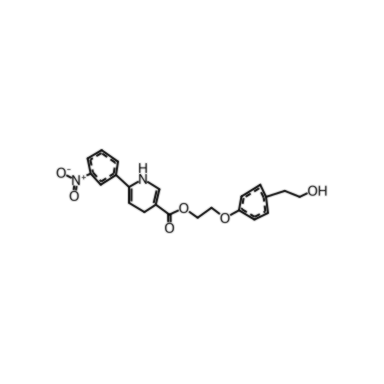 O=C(OCCOc1ccc(CCO)cc1)C1=CNC(c2cccc([N+](=O)[O-])c2)=CC1